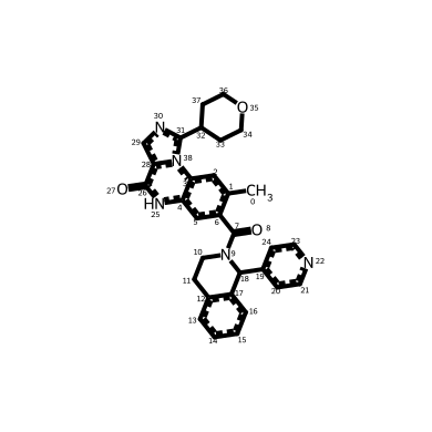 Cc1cc2c(cc1C(=O)N1CCc3ccccc3C1c1ccncc1)[nH]c(=O)c1cnc(C3CCOCC3)n12